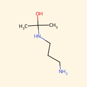 CC(C)(O)NCCCN